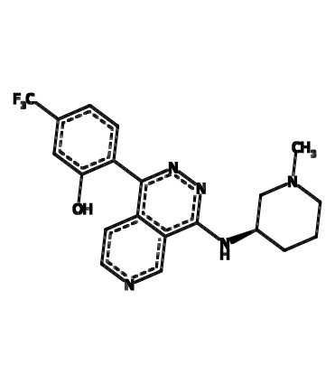 CN1CCC[C@@H](Nc2nnc(-c3ccc(C(F)(F)F)cc3O)c3ccncc23)C1